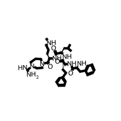 CNCCC[C@@H](NC(=O)[C@@H](CC(C)C)NC(=O)[C@@H](CCc1ccccc1)NC(=O)[C@H](N)Cc1ccccc1)C(=O)N1CCCN(C(=N)N)CC1